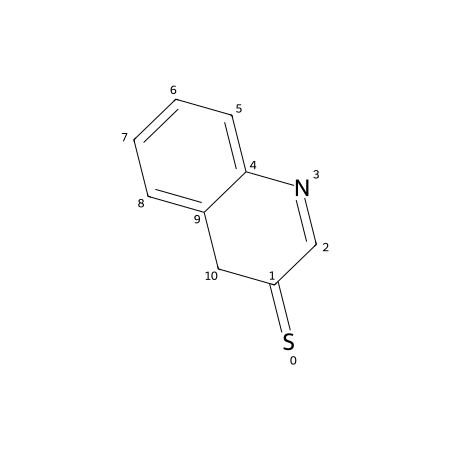 S=C1C=Nc2ccccc2C1